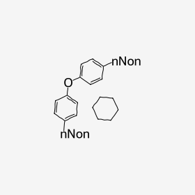 C1CCCCC1.CCCCCCCCCc1ccc(Oc2ccc(CCCCCCCCC)cc2)cc1